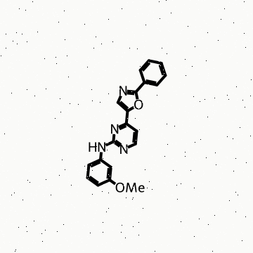 COc1cccc(Nc2nccc(-c3cnc(-c4ccccc4)o3)n2)c1